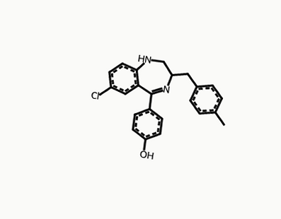 Cc1ccc(CC2CNc3ccc(Cl)cc3C(c3ccc(O)cc3)=N2)cc1